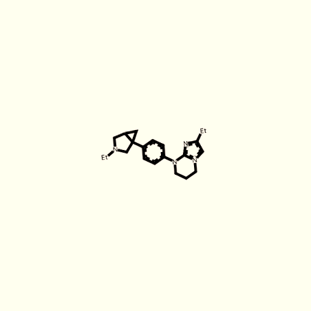 CCc1cn2c(n1)N(c1ccc(C34CC3CN(CC)C4)cc1)CCC2